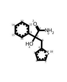 NC(=O)C(O)(Cc1cccs1)c1ccccc1